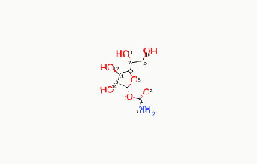 NC(=O)O[C@H]1O[C@H]([C@H](O)CO)[C@H](O)[C@H]1O